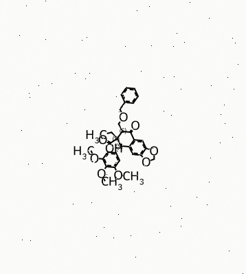 CC[C@]1(C(=O)O)[C@@H](c2cc(OC)c(OC)c(OC)c2)c2cc3c(cc2C(=O)[C@@H]1COCc1ccccc1)OCO3